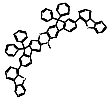 CN1c2cc3c(cc2Oc2cc4c(cc21)-c1ccc(-c2cccc5c2oc2ccccc25)cc1C4(c1ccccc1)c1ccccc1)C(c1ccccc1)(c1ccccc1)c1cc(-c2cccc4c2oc2ccccc24)ccc1-3